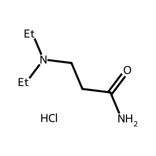 CCN(CC)CCC(N)=O.Cl